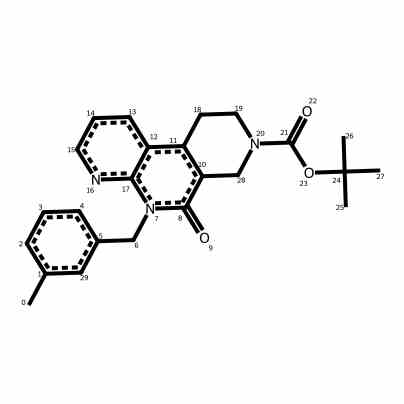 Cc1cccc(Cn2c(=O)c3c(c4cccnc42)CCN(C(=O)OC(C)(C)C)C3)c1